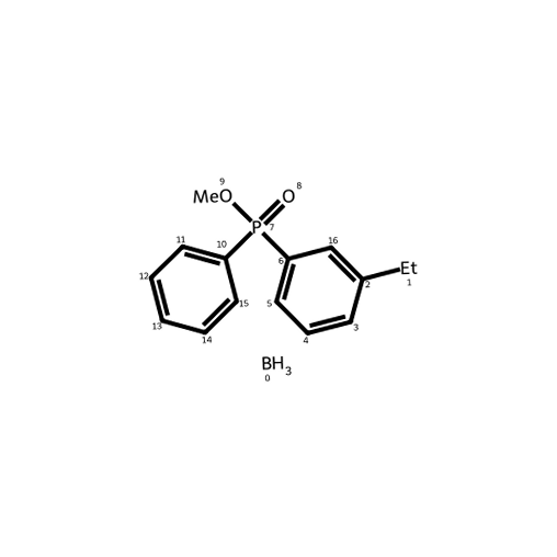 B.CCc1cccc(P(=O)(OC)c2ccccc2)c1